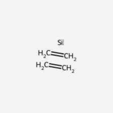 C=C.C=C.[Si]